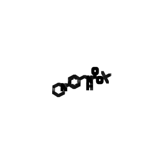 CC(C)(C)OC(=O)NCc1ccc(N2CCCCC2)cc1